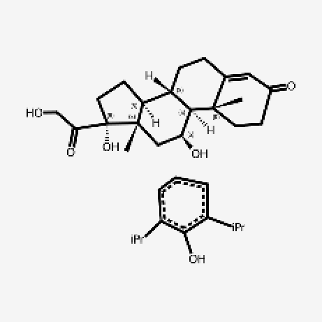 CC(C)c1cccc(C(C)C)c1O.C[C@]12CCC(=O)C=C1CC[C@@H]1[C@@H]2[C@@H](O)C[C@@]2(C)[C@H]1CC[C@]2(O)C(=O)CO